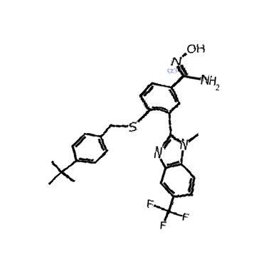 Cn1c(-c2cc(/C(N)=N/O)ccc2SCc2ccc(C(C)(C)C)cc2)nc2cc(C(F)(F)F)ccc21